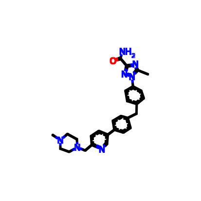 Cc1nc(C(N)=O)nn1-c1ccc(Cc2ccc(-c3ccc(CN4CCN(C)CC4)nc3)cc2)cc1